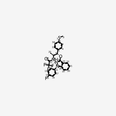 CSc1ccc([C@H](Oc2nn(-c3ccc(F)cc3)c3ccccc23)[C@H](C)NC(=O)C(F)(F)F)cc1